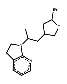 CC(C)C1CC(CC(C)N2CCc3cccnc32)CO1